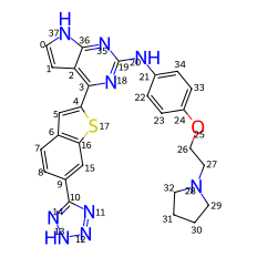 c1cc2c(-c3cc4ccc(-c5nn[nH]n5)cc4s3)nc(Nc3ccc(OCCN4CCCC4)cc3)nc2[nH]1